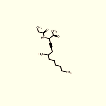 CCCCCCC(C)CC#CC(NC(=O)CC)C(C)=O